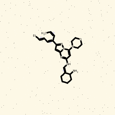 C\C=C/C(=C\C=C\CC)c1cc2nc(N/C=C3/CCCCC3N)cc(N3CCOCC3)n2n1